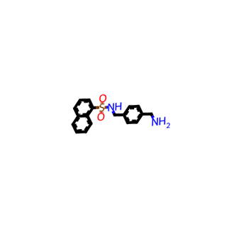 NCc1ccc(CNS(=O)(=O)c2cccc3ccccc23)cc1